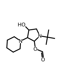 CC(C)(C)N1CC(O)C(N2CCCCC2)C1OC=O